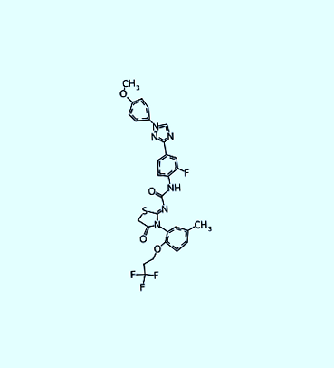 COc1ccc(-n2cnc(-c3ccc(NC(=O)N=C4SCC(=O)N4c4cc(C)ccc4OCCC(F)(F)F)c(F)c3)n2)cc1